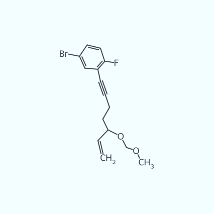 C=CC(CCC#Cc1cc(Br)ccc1F)OCOC